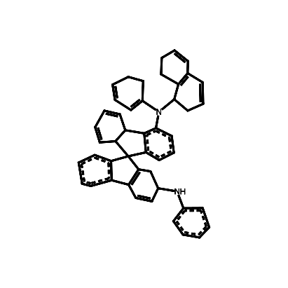 C1=CCCC(N(c2cccc3c2C2C=CC=CC2C32C3=C(C=CC(Nc4ccccc4)C3)c3ccccc32)C2CC=CC3=C2CCC=C3)=C1